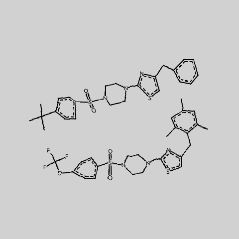 CC(C)(C)c1ccc(S(=O)(=O)N2CCN(c3nc(Cc4ccccc4)cs3)CC2)cc1.Cc1cc(C)c(Cc2csc(N3CCN(S(=O)(=O)c4ccc(OC(F)(F)F)cc4)CC3)n2)c(C)c1